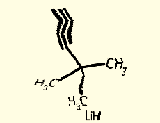 [C]#CC(C)(C)C.[LiH]